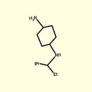 CCC(NC1CCC(N)CC1)C(C)C